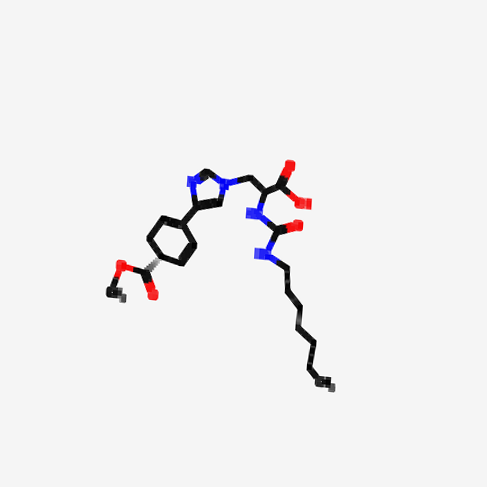 CCCCCCCNC(=O)NC(Cn1cnc(C2=CC[C@@H](C(=O)OC)C=C2)c1)C(=O)O